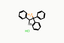 CCCCC(c1ccccc1)C(P)(c1ccccc1)c1ccccc1.Cl